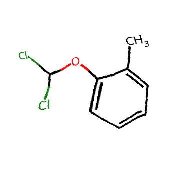 Cc1ccccc1OC(Cl)Cl